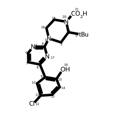 CC(C)(C)C1CN(c2nccc(-c3cc(Cl)ccc3O)n2)CCN1C(=O)O